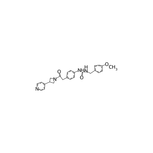 COc1ccc(CNC(=O)Nc2ccc(CC(=O)N3CC(c4ccncc4)C3)cc2)cc1